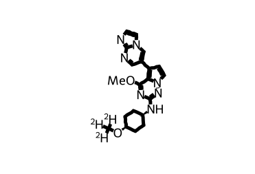 [2H]C([2H])([2H])O[C@H]1CC[C@@H](Nc2nc(OC)c3c(-c4cnc5nccn5c4)ccn3n2)CC1